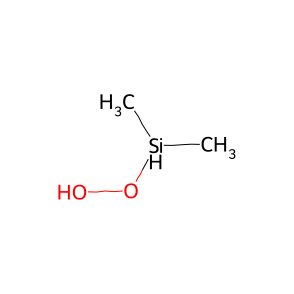 C[SiH](C)OO